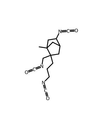 CC12CC(CC1(CCCN=C=O)CN=C=O)C(N=C=O)C2